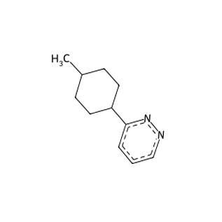 CC1CCC(c2cccnn2)CC1